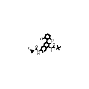 CC(C)(C)OC(=O)Nc1c(F)c(-c2c(Cl)cccc2Cl)cc2cc(NC(=O)[C@@H]3C[C@@H]3F)ncc12